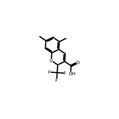 Cc1cc(C)c2c(c1)OC(C(F)(F)F)C(C(=O)O)=C2